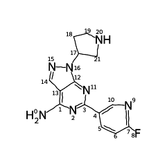 Nc1nc(-c2ccc(F)nc2)nc2c1cnn2C1CCNC1